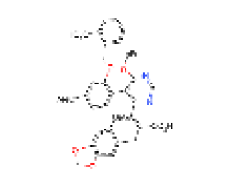 CCCOc1ncnc(C=C(Cc2cc3c(cc2OC)OCO3)C(=O)O)c1-c1ccc(OC)cc1OCc1ccccc1C(=O)O